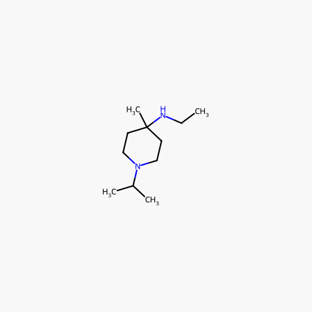 CCNC1(C)CCN(C(C)C)CC1